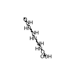 COCNCCNCCNCCNCCNCCNCOCC(=O)O